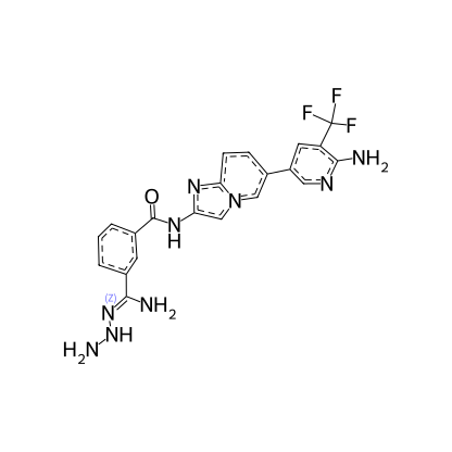 NN/N=C(\N)c1cccc(C(=O)Nc2cn3cc(-c4cnc(N)c(C(F)(F)F)c4)ccc3n2)c1